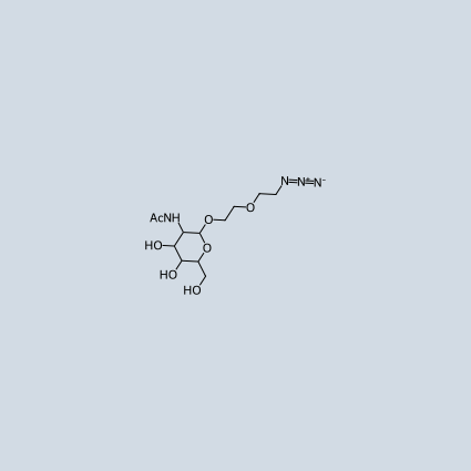 CC(=O)NC1C(OCCOCCN=[N+]=[N-])OC(CO)C(O)C1O